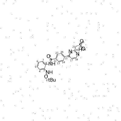 CC(C)(C)ONc1ccccc1NC(=O)c1ccc(-c2ccnc(C[SH](=O)=O)n2)cc1